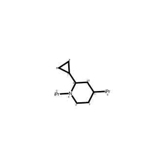 CC(C)C1CCN(C(C)C)C(C2CC2)C1